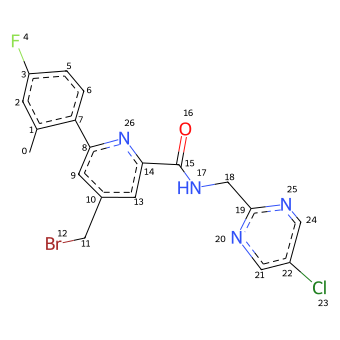 Cc1cc(F)ccc1-c1cc(CBr)cc(C(=O)NCc2ncc(Cl)cn2)n1